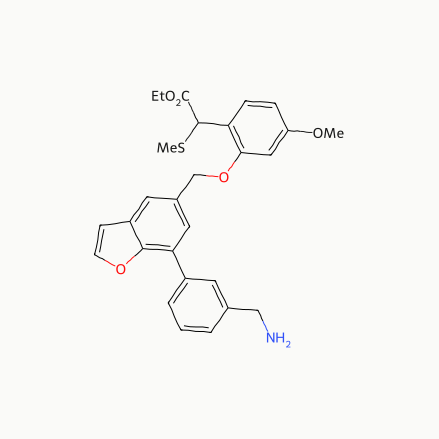 CCOC(=O)C(SC)c1ccc(OC)cc1OCc1cc(-c2cccc(CN)c2)c2occc2c1